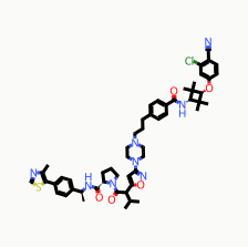 Cc1ncsc1-c1ccc([C@H](C)NC(=O)[C@@H]2CCCN2C(=O)C(c2cc(N3CCN(CCCc4ccc(C(=O)N[C@H]5C(C)(C)[C@H](Oc6ccc(C#N)c(Cl)c6)C5(C)C)cc4)CC3)no2)C(C)C)cc1